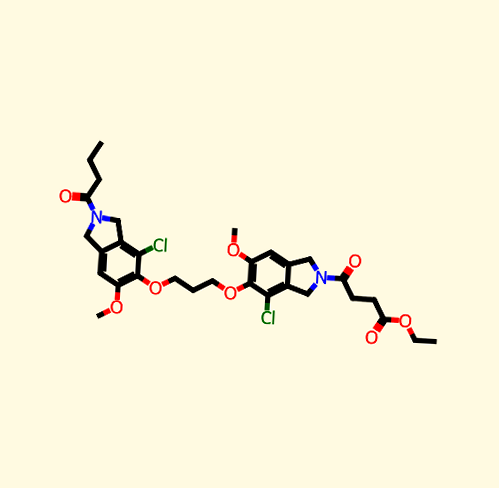 CCCC(=O)N1Cc2cc(OC)c(OCCCOc3c(OC)cc4c(c3Cl)CN(C(=O)CCC(=O)OCC)C4)c(Cl)c2C1